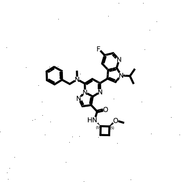 CO[C@H]1CC[C@@H]1NC(=O)c1cnn2c(N(C)Cc3ccccc3)cc(-c3cn(C(C)C)c4ncc(F)cc34)nc12